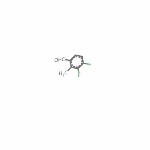 Cc1c(C=O)ccc(F)c1F